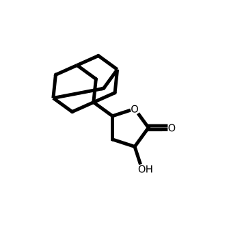 O=C1OC(C23CC4CC(CC(C4)C2)C3)CC1O